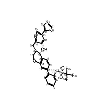 O=S(=O)(Nc1ccccc1-c1ccc2c(c1)OC[C@@H](Cc1ccc(-c3cncs3)cn1)[C@@H]2O)C(F)(F)F